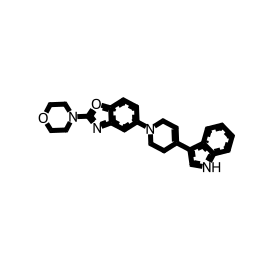 C1=C(c2c[nH]c3ccccc23)CCN(c2ccc3oc(N4CCOCC4)nc3c2)C1